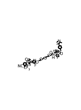 Cc1ncsc1-c1ccc(CNC(=O)[C@@H]2C[C@@H](C)CN2C(=O)[C@@H](NC(=O)COCCOCCOCCOc2ncc(N3C(=S)N(c4ccc(C#N)c(C(F)(F)F)c4F)C(=O)C3(C)C)cc2F)C(C)(C)C)cc1